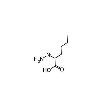 CCCCC([N]N)C(=O)O